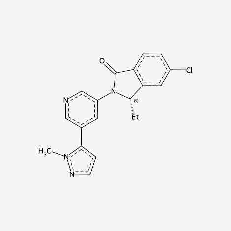 CC[C@H]1c2cc(Cl)ccc2C(=O)N1c1cncc(-c2ccnn2C)c1